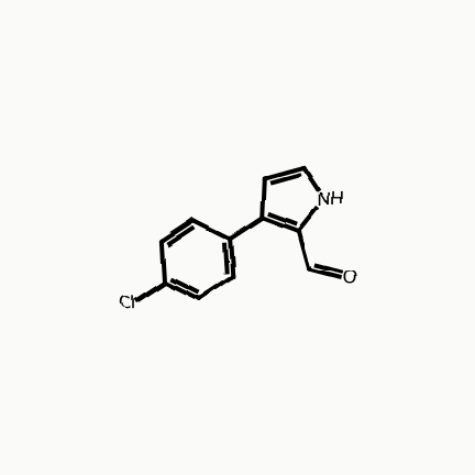 O=Cc1[nH]ccc1-c1ccc(Cl)cc1